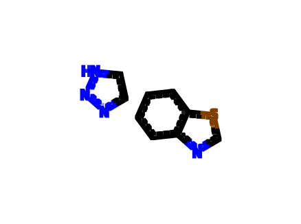 c1c[nH]nn1.c1ccc2scnc2c1